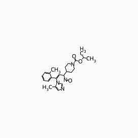 Cc1ccccc1/C(=C/C(N=O)C1CCN(C(=O)OC(C)C)CC1)n1cncc1C